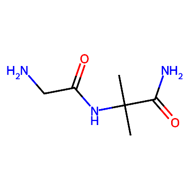 CC(C)(NC(=O)CN)C(N)=O